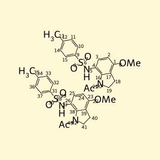 COc1ccc(NS(=O)(=O)c2ccc(C)cc2)c2c1CCN2C(C)=O.COc1ccc(NS(=O)(=O)c2ccc(C)cc2)c2c1CCN2C(C)=O